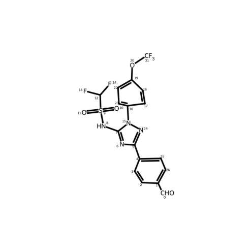 O=Cc1ccc(-c2nc(NS(=O)(=O)C(F)F)n(-c3ccc(OC(F)(F)F)cc3)n2)cc1